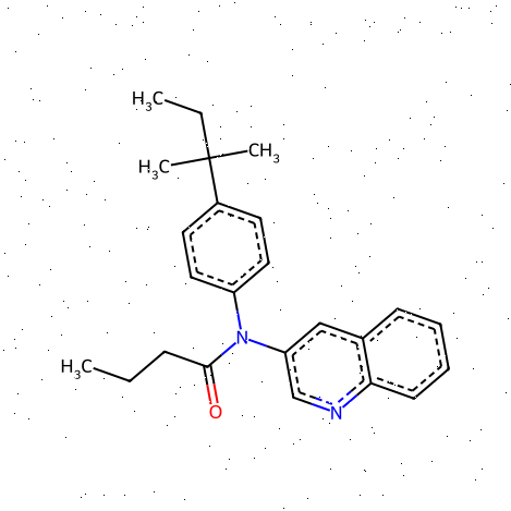 CCCC(=O)N(c1ccc(C(C)(C)CC)cc1)c1cnc2ccccc2c1